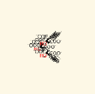 O=C([O-])CC(O)(CC(=O)[O-])C(=O)[O-].O=C([O-])CC(O)(CC(=O)[O-])C(=O)[O-].O=C([O-])CC(O)(CC(=O)[O-])C(=O)[O-].[Ag+].[Ag+].[Ag+].[Ag+].[Ag+].[Ag+].[Ag+].[Ag+].[Ag+]